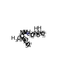 Cc1cc(N)c(C(=N)/C=C/c2cccc(NC(=O)NC3CCCC3)c2)cc1NC(=O)Cc1cccs1